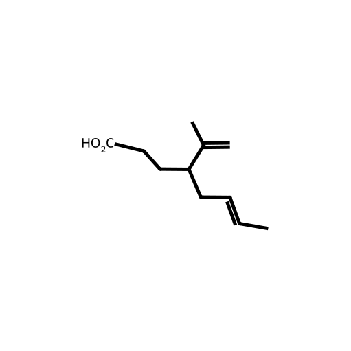 C=C(C)C(C/C=C/C)CCC(=O)O